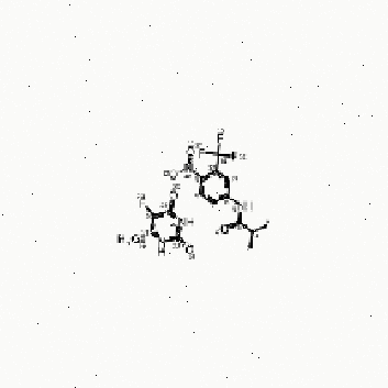 CC(C)C(=O)Nc1ccc([N+](=O)[O-])c(C(F)(F)F)c1.O=c1[nH]cc(F)c(=O)[nH]1.[GaH3]